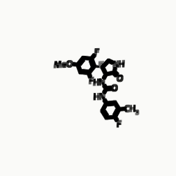 COc1cc(F)c([C@@H]2CNC(=O)C2NC(=O)Nc2ccc(F)c(C)c2)c(F)c1